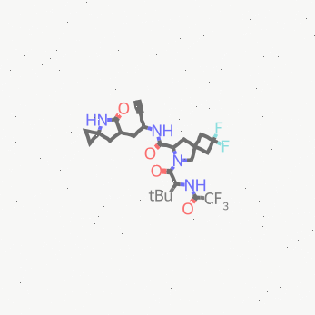 C#CC(CC1CC2(CC2)NC1=O)NC(=O)C1CC2(CN1C(=O)C(NC(=O)C(F)(F)F)C(C)(C)C)CC(F)(F)C2